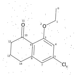 CCOc1cc(Cl)cc2c1C(=O)CCC2